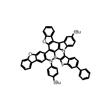 CC(C)(C)c1ccc(N2B3c4sc5cc(-c6ccccc6)ccc5c4-n4c5ccc(C(C)(C)C)cc5c5c6c(oc7ccccc76)c(c3c54)-c3cc4oc5ccccc5c4cc32)cc1